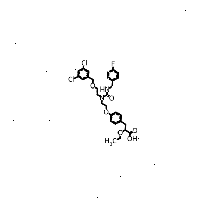 CCOC(Cc1ccc(OCCN(CCOCc2cc(Cl)cc(Cl)c2)C(=O)NCc2ccc(F)cc2)cc1)C(=O)O